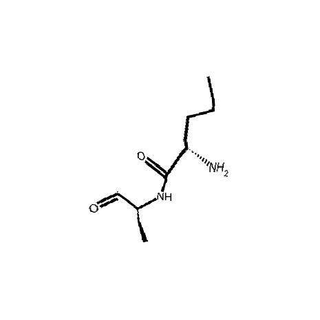 CCC[C@H](N)C(=O)N[C@@H](C)[C]=O